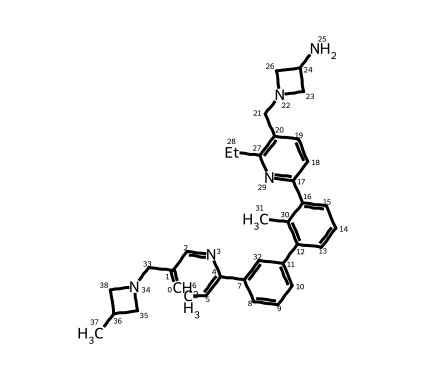 C=C(/C=N\C(=C/C)c1cccc(-c2cccc(-c3ccc(CN4CC(N)C4)c(CC)n3)c2C)c1)CN1CC(C)C1